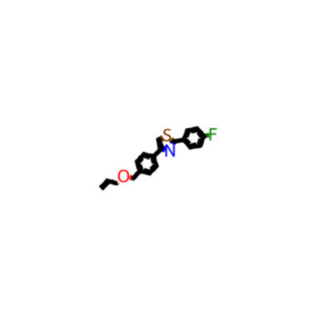 C=CCOCc1ccc(-c2csc(-c3ccc(F)cc3)n2)cc1